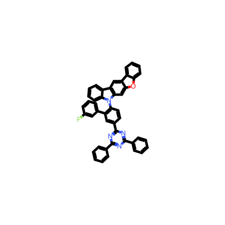 Fc1cccc(-c2cc(-c3nc(-c4ccccc4)nc(-c4ccccc4)n3)ccc2-n2c3ccccc3c3cc4c(cc32)oc2ccccc24)c1